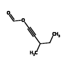 CCC(C)C#COC=O